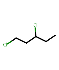 CCC(Cl)CCCl